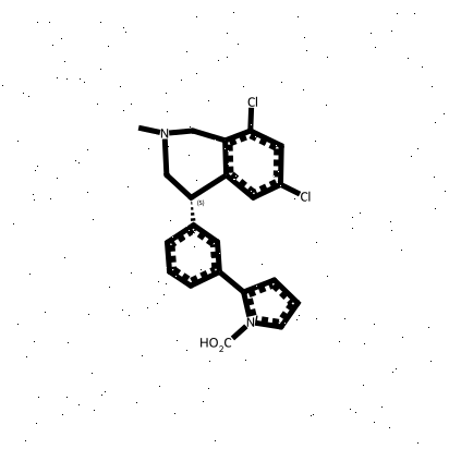 CN1Cc2c(Cl)cc(Cl)cc2[C@H](c2cccc(-c3cccn3C(=O)O)c2)C1